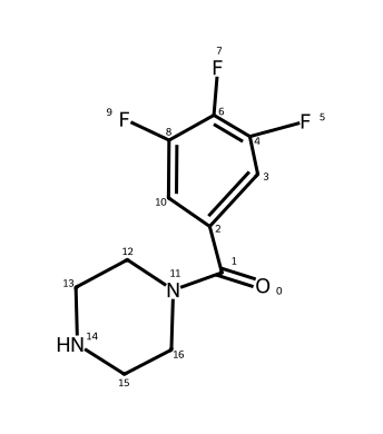 O=C(c1cc(F)c(F)c(F)c1)N1CCNCC1